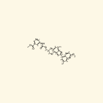 COC(=O)c1cncc(NC(=O)OCC2COc3c(cc(C)c4nc(-c5cc(C)cc6nc(OC)cnc56)sc34)O2)c1